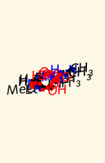 CCn1c(-c2cccnc2COC)c2c3cc(ccc31)-c1cc(O)cc(c1)C[C@H](NC(=O)[C@H](C(C)C)N(C)C(=O)[C@@]1(O)CCN(C(=O)C#CCN(C)C)C1)C(=O)N1CCC[C@@](O)(N1)C(=O)OCC(C)(C)C2